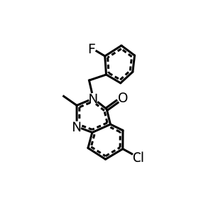 Cc1nc2ccc(Cl)cc2c(=O)n1Cc1ccccc1F